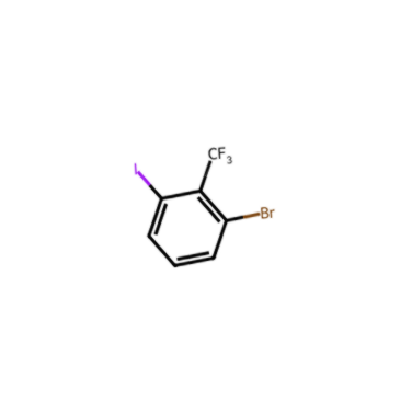 FC(F)(F)c1c(Br)cccc1I